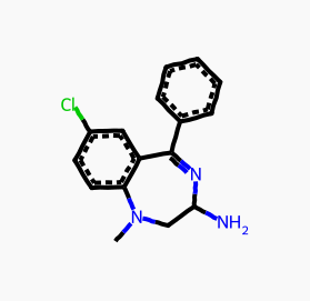 CN1CC(N)N=C(c2ccccc2)c2cc(Cl)ccc21